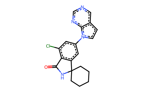 O=C1NC2(CCCCC2)c2cc(-n3ccc4cncnc43)cc(Cl)c21